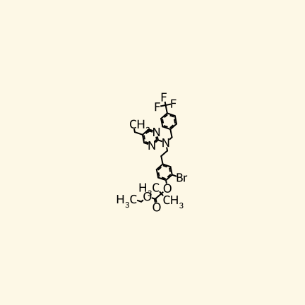 CCOC(=O)C(C)(C)Oc1ccc(CCN(Cc2ccc(C(F)(F)F)cc2)c2ncc(CC)cn2)cc1Br